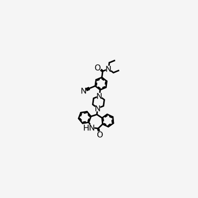 CCN(CC)C(=O)c1ccc(N2CCN(C3c4ccccc4NC(=O)c4ccccc43)CC2)c(C#N)c1